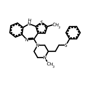 Cc1cc2c(s1)Nc1ccccc1N=C2N1CCN(C)C(CCSc2ccccc2)C1